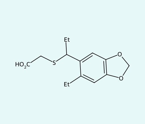 CCc1cc2c(cc1C(CC)SCC(=O)O)OCO2